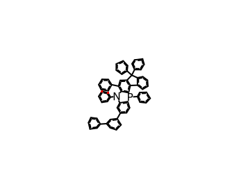 c1ccc(-c2cccc(-c3ccc4c(c3)N(c3ccccc3)c3c(-c5ccccc5)cc5c(c3P4c3ccccc3)-c3ccccc3C5(c3ccccc3)c3ccccc3)c2)cc1